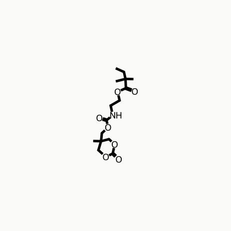 CCC(C)(C)C(=O)OCCNC(=O)OCC1(C)COC(=O)OC1